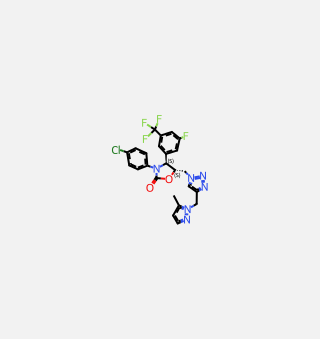 Cc1ccnn1Cc1cn(C[C@@H]2OC(=O)N(c3ccc(Cl)cc3)[C@H]2c2cc(F)cc(C(F)(F)F)c2)nn1